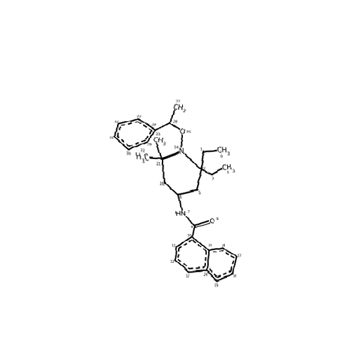 CCC1(CC)CC(NC(=O)c2cccc3ccccc23)CC(C)(C)N1OC(C)c1ccccc1